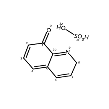 O=C1C=CC=C2C=CCN=C12.O=S(=O)(O)O